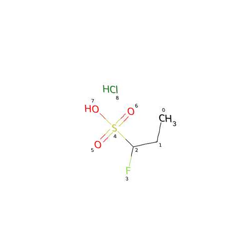 CCC(F)S(=O)(=O)O.Cl